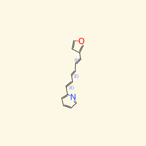 C(=C\C=C\c1ccccn1)/C=C/c1ccoc1